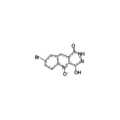 O=c1[nH]nc(O)c2c1cc1cc(Br)ccc1[n+]2[O-]